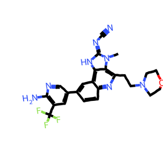 Cn1c(=NC#N)[nH]c2c3cc(-c4cnc(N)c(C(F)(F)F)c4)ccc3nc(CCN3CCOCC3)c21